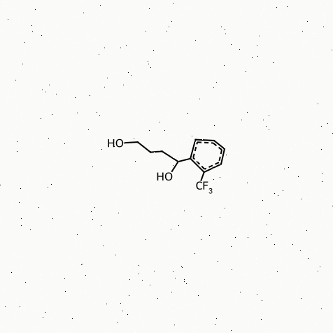 OCCCC(O)c1ccccc1C(F)(F)F